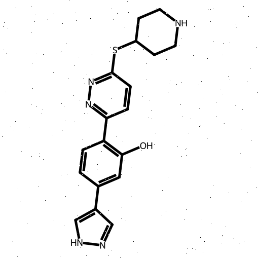 Oc1cc(-c2cn[nH]c2)ccc1-c1ccc(SC2CCNCC2)nn1